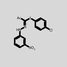 CC(=O)/C(=N\Nc1cccc([N+](=O)[O-])c1)Sc1ccc(Cl)cc1